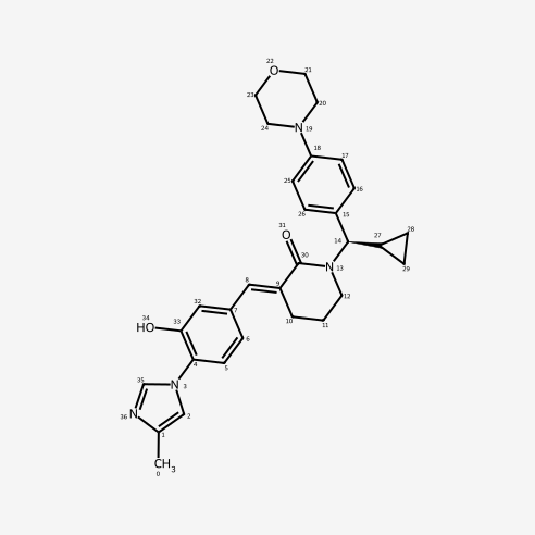 Cc1cn(-c2ccc(/C=C3\CCCN([C@@H](c4ccc(N5CCOCC5)cc4)C4CC4)C3=O)cc2O)cn1